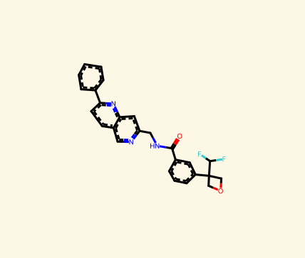 O=C(NCc1cc2nc(-c3ccccc3)ccc2cn1)c1cccc(C2(C(F)F)COC2)c1